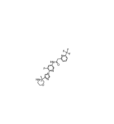 C[C@@]1(c2cn(-c3ncc(NC(=O)Cc4cccc(C(F)(F)F)n4)cc3F)cn2)COCCN1